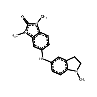 CN1CCc2cc(Nc3ccc4c(c3)n(C)c(=O)n4C)ccc21